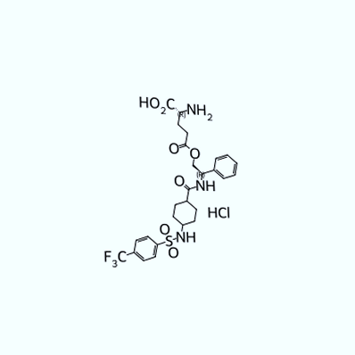 Cl.N[C@H](CCC(=O)OC[C@H](NC(=O)C1CCC(NS(=O)(=O)c2ccc(C(F)(F)F)cc2)CC1)c1ccccc1)C(=O)O